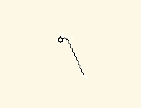 CCCCCCCCCCCCCCCCCCC(C)(C)Cc1ccccc1O